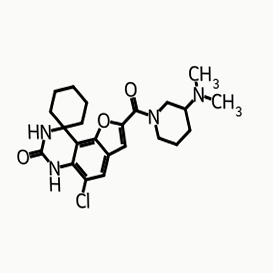 CN(C)C1CCCN(C(=O)c2cc3cc(Cl)c4c(c3o2)C2(CCCCC2)NC(=O)N4)C1